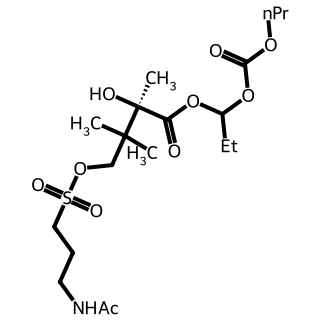 CCCOC(=O)OC(CC)OC(=O)[C@](C)(O)C(C)(C)COS(=O)(=O)CCCNC(C)=O